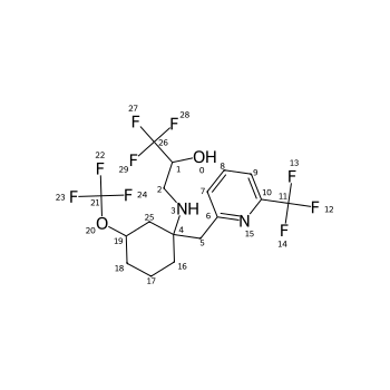 OC(CNC1(Cc2cccc(C(F)(F)F)n2)CCCC(OC(F)(F)F)C1)C(F)(F)F